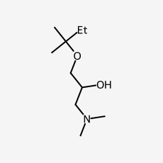 CCC(C)(C)OCC(O)CN(C)C